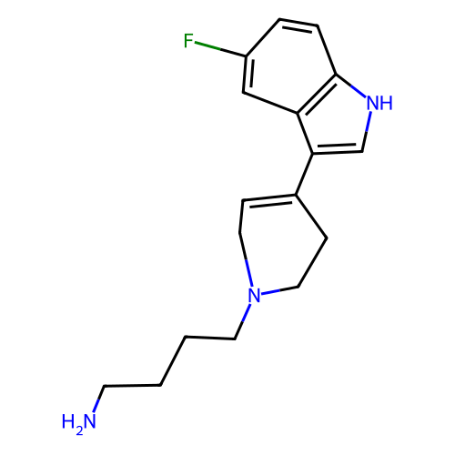 NCCCCN1CC=C(c2c[nH]c3ccc(F)cc23)CC1